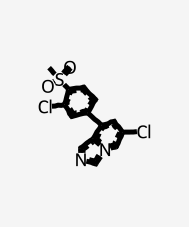 CS(=O)(=O)c1ccc(-c2cc(Cl)cn3cncc23)cc1Cl